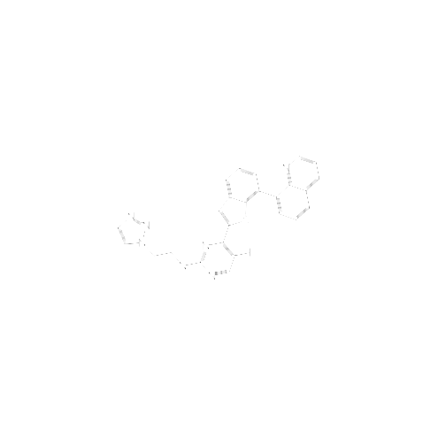 Fc1cnc(NCCn2ccnn2)nc1-c1cc2cccc(-c3cccc4cccnc34)c2s1